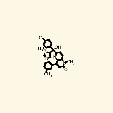 Cc1cccc(-c2cc(=O)n(C)c3ccc([C@](O)(c4ccc(Cl)cc4)c4cncn4C)nc23)c1